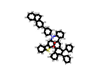 c1ccc(-c2c(-c3ccccc3)c3cc(-c4ccccc4N(c4ccc(-c5ccc6c(ccc7ccccc76)c5)cc4)c4ccc5sc6ccccc6c5c4)ccc3c3ccccc23)cc1